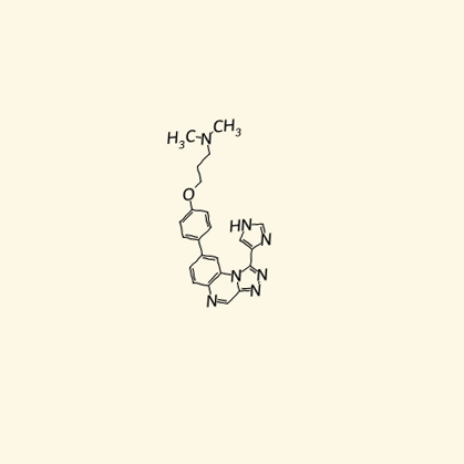 CN(C)CCCOc1ccc(-c2ccc3ncc4nnc(-c5c[nH]cn5)n4c3c2)cc1